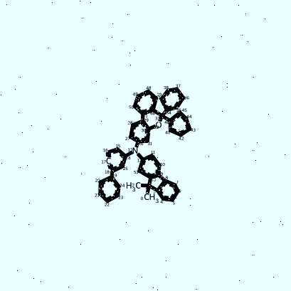 CC1(C)c2ccccc2-c2ccc(N(c3cccc(-c4ccccc4)c3)c3ccc4c(c3)OC(c3ccccc3)(c3ccccc3)c3ccccc3-4)cc21